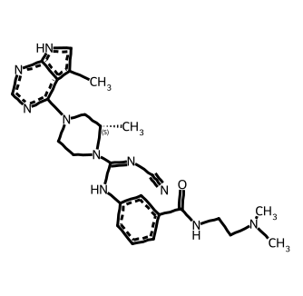 Cc1c[nH]c2ncnc(N3CCN(C(=NC#N)Nc4cccc(C(=O)NCCN(C)C)c4)[C@@H](C)C3)c12